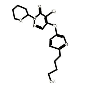 O=c1c(Cl)c(Oc2ccc(CCCCO)nc2)cnn1C1CCCCO1